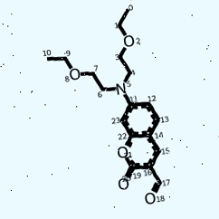 CCOCCN(CCOCC)c1ccc2cc(C=O)c(=O)oc2c1